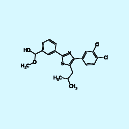 COC(O)c1cccc(-c2nc(-c3ccc(Cl)c(Cl)c3)c(CC(C)C)s2)c1